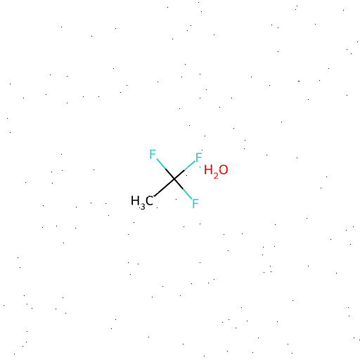 CC(F)(F)F.O